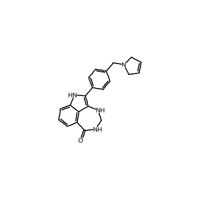 O=C1NCNc2c(-c3ccc(CN4CC=CC4)cc3)[nH]c3cccc1c23